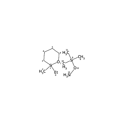 CC[Si]1(C)CCCCO1.C[Si](C)(C)O[SiH3]